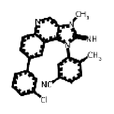 Cc1ccc(C#N)cc1-n1c(=N)n(C)c2cnc3ccc(-c4cccc(Cl)c4)cc3c21